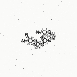 N#Cc1ccc(Oc2cc(Oc3cccc(Oc4cc(Oc5ccc(C#N)c(C#N)c5)ncn4)c3)ncn2)cc1C#N